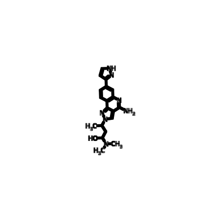 CC(CC(O)N(C)C)n1cc2c(N)nc3cc(-c4cc[nH]n4)ccc3c2n1